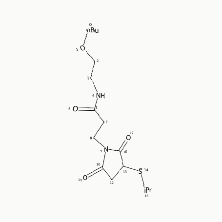 CCCCOCCNC(=O)CCN1C(=O)CC(SC(C)C)C1=O